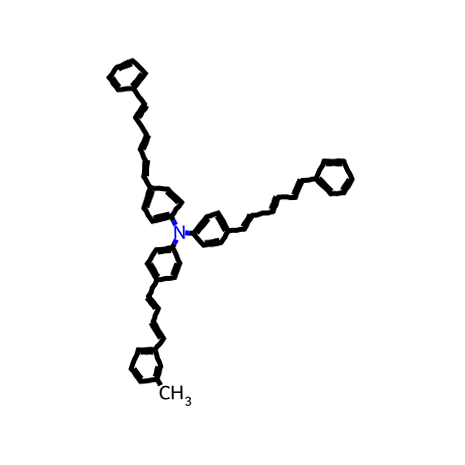 Cc1cccc(/C=C/C=C/c2ccc(N(c3ccc(/C=C/C=C/C=C/c4ccccc4)cc3)c3ccc(/C=C/C=C/C=C/c4ccccc4)cc3)cc2)c1